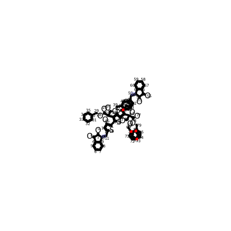 O=C1C(=O)c2ccccc2/C1=C/c1cc2c(s1)-c1sc3c4c(sc3c1C(C(=O)OCc1ccccc1)(C(=O)OCc1ccccc1)O2)-c1sc(/C=C2\C(=O)C(=O)c3ccccc32)cc1OC4(C(=O)OCc1ccccc1)C(=O)OCc1ccccc1